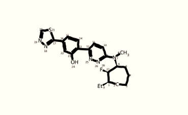 CC[C@@H]1CCCC[C@H](N(C)c2ccc(-c3ccc(-c4nncs4)cc3O)nn2)[C@@H]1F